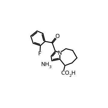 N.O=C(c1ccccc1F)c1ccc2n1CCCCC2C(=O)O